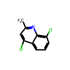 FC(F)(F)c1cc(Cl)c2cccc(Cl)c2n1